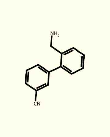 N#Cc1cccc(-c2ccccc2CN)c1